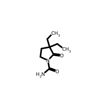 CCC1(CC)CCN(C(N)=O)C1=O